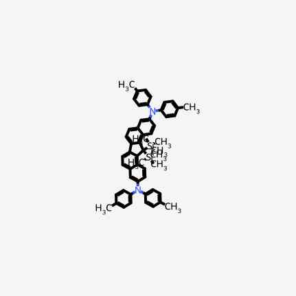 Cc1ccc(N(c2ccc(C)cc2)c2ccc3c4c(ccc3c2)-c2ccc3cc(N(c5ccc(C)cc5)c5ccc(C)cc5)ccc3c2C4([Si](C)(C)C)[Si](C)(C)C)cc1